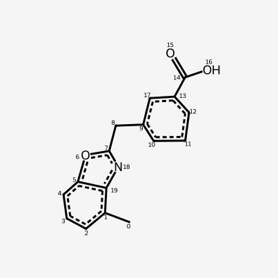 Cc1cccc2oc(Cc3cccc(C(=O)O)c3)nc12